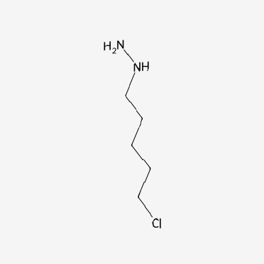 NNCCCCCCl